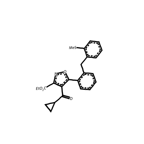 CCOC(=O)c1noc(-c2ccccc2Cc2ccccc2SC)c1C(=O)C1CC1